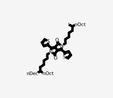 CCCCCCCCCCC(CCCCCCCC)CCCCCN1C(=O)C2=C(c3cccs3)N(CCCCCC(I)CCCCCCCC)C(=O)C2=C1c1cccs1